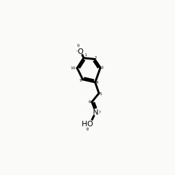 [O]c1ccc(CC=NO)cc1